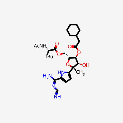 CC(=O)N[C@H](C(=O)OC[C@H]1O[C@@](C)(c2ccc(/C(N)=N\C=N)[nH]2)[C@H](O)[C@@H]1OC(=O)CC1CCCCC1)C(C)(C)C